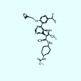 CC(=O)NC1CCC(NC(=O)c2c(C)[nH]c3c(-c4cc(C(F)F)ccc4OCC4CC4)ncnc23)CC1